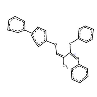 CC(=COc1ccc(-c2ccccc2)cc1)/C(=N\c1ccccc1)Sc1ccccc1